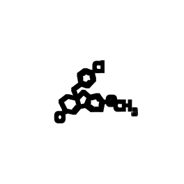 COc1ccc2c(c1)CC1(Cc3ccc(Cl)cc3)CCC(=O)C=C21